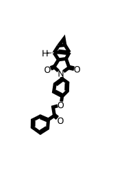 O=C(COc1ccc(N2C(=O)C3C4C=C[C@H](C5CC45)C3C2=O)cc1)c1ccccc1